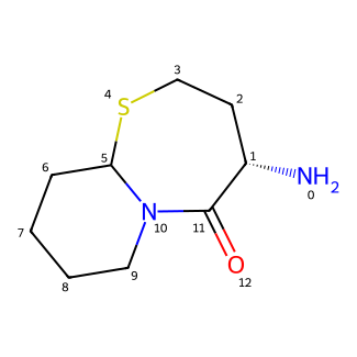 N[C@H]1CCSC2CCCCN2C1=O